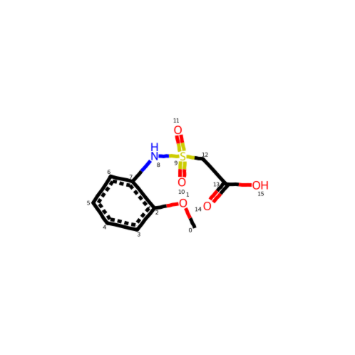 COc1ccccc1NS(=O)(=O)CC(=O)O